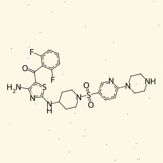 Nc1nc(NC2CCN(S(=O)(=O)c3ccc(N4CCNCC4)nc3)CC2)sc1C(=O)c1c(F)cccc1F